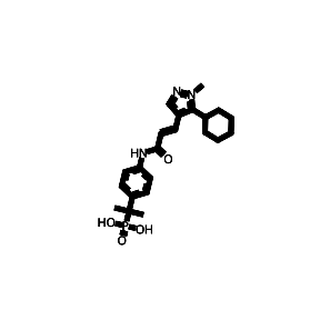 Cn1ncc(C=CC(=O)Nc2ccc(C(C)(C)P(=O)(O)O)cc2)c1C1CCCCC1